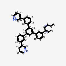 C/C=C(\C=C/CC)c1cccc(-c2cc(-c3cccc(-c4cccnc4)c3)cc(-c3cccc(-c4cccnc4)c3)c2)c1